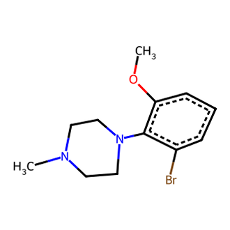 COc1cccc(Br)c1N1CCN(C)CC1